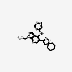 CCn1ncc2c(Nc3cnncn3)c(C3=NOC4(CCCCC4)C3)cnc21